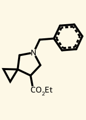 CCOC(=O)C1CN(Cc2ccccc2)CC12CC2